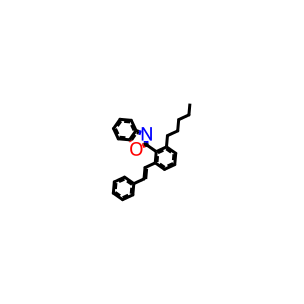 CCCCCc1cccc(C=Cc2ccccc2)c1-c1nc2ccccc2o1